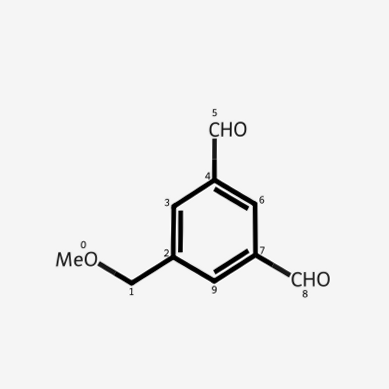 COCc1cc(C=O)cc(C=O)c1